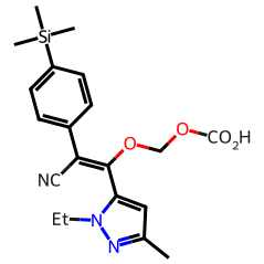 CCn1nc(C)cc1C(OCOC(=O)O)=C(C#N)c1ccc([Si](C)(C)C)cc1